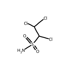 NS(=O)(=O)C(Cl)C(Cl)Cl